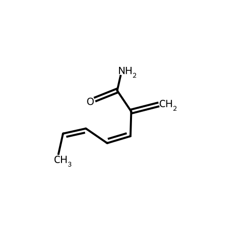 C=C(/C=C\C=C/C)C(N)=O